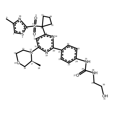 Cc1csc(S(=O)(=O)C2(c3cc(N4CCOC[C@@H]4C)nc(-c4ccc(NC(=O)NCCO)cc4)n3)CCC2)n1